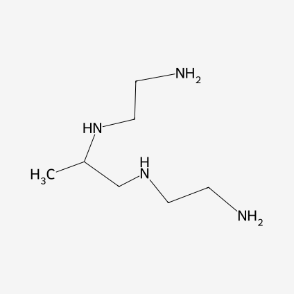 CC(CNCCN)NCCN